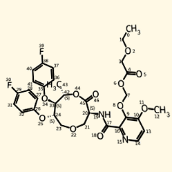 CCOCC(=O)OCOc1c(OC)ccnc1C(=O)N[C@H]1COC[C@H](Oc2ccc(F)cc2)[C@@H](Oc2ccc(F)cc2)[C@H](C)OC1=O